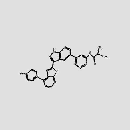 CC(C)C(=O)Nc1cncc(-c2cnc3[nH]nc(-c4nc5c(-c6ccc(F)cc6)ccnc5[nH]4)c3c2)c1